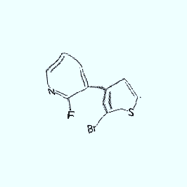 Fc1ncccc1-c1c[c]sc1Br